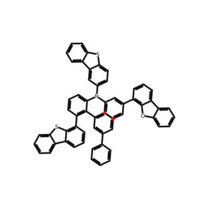 c1ccc(-c2cccc(-c3c(-c4cccc5c4sc4ccccc45)cccc3N(c3cccc(-c4cccc5c4oc4ccccc45)c3)c3ccc4sc5ccccc5c4c3)c2)cc1